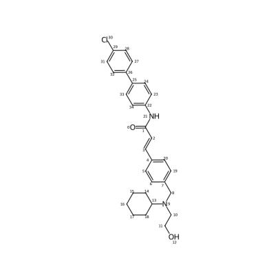 O=C(/C=C/c1ccc(CN(CCO)C2CCCCC2)cc1)Nc1ccc(-c2ccc(Cl)cc2)cc1